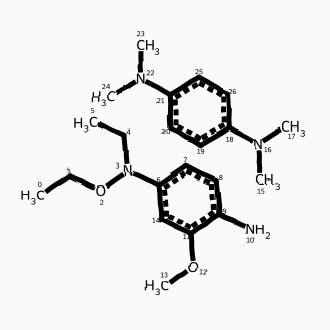 CCON(CC)c1ccc(N)c(OC)c1.CN(C)c1ccc(N(C)C)cc1